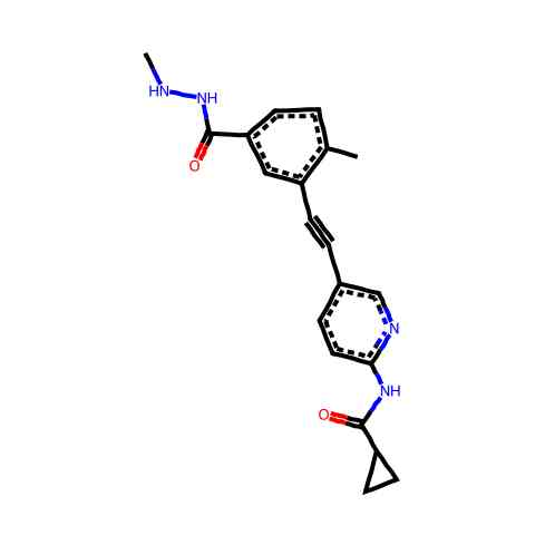 CNNC(=O)c1ccc(C)c(C#Cc2ccc(NC(=O)C3CC3)nc2)c1